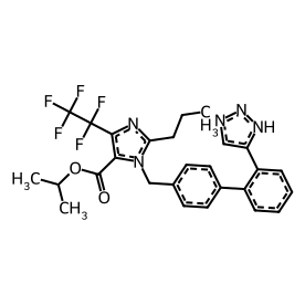 CCCc1nc(C(F)(F)C(F)(F)F)c(C(=O)OC(C)C)n1Cc1ccc(-c2ccccc2-c2cnn[nH]2)cc1